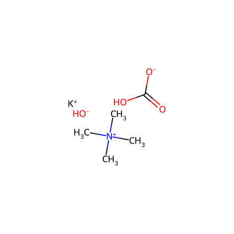 C[N+](C)(C)C.O=C([O-])O.[K+].[OH-]